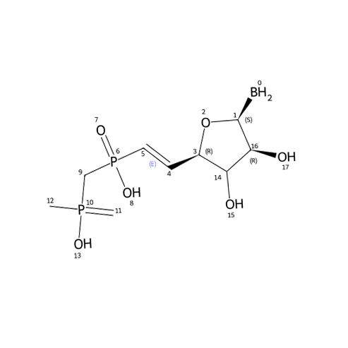 B[C@@H]1O[C@H](/C=C/P(=O)(O)CP(=C)(C)O)C(O)[C@@H]1O